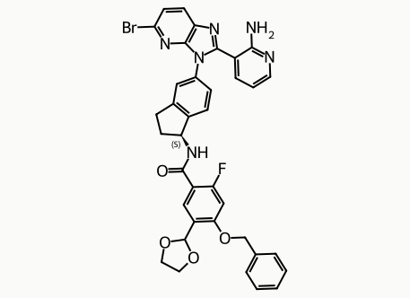 Nc1ncccc1-c1nc2ccc(Br)nc2n1-c1ccc2c(c1)CC[C@@H]2NC(=O)c1cc(C2OCCO2)c(OCc2ccccc2)cc1F